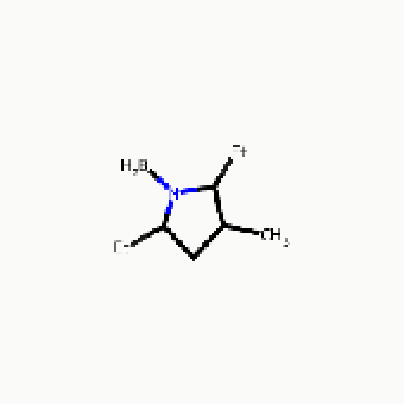 BN1C(CC)CC(C)C1CC